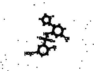 CCc1ccc(C(=O)O)cc1S(=O)(=O)Nc1cc(C#N)ccc1-c1cccs1